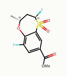 COC(=O)c1cc(F)c2c(c1)S(=O)(=O)[C@H](F)C[C@@H](C)O2